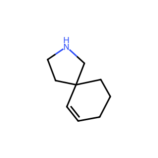 C1=CC2(CCC1)CCNC2